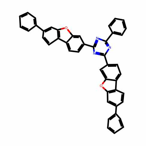 c1ccc(-c2ccc3c(c2)oc2cc(-c4nc(-c5ccccc5)nc(-c5ccc6c(c5)oc5cc(-c7ccccc7)ccc56)n4)ccc23)cc1